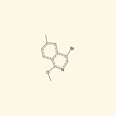 COc1ncc(Br)c2cc(C)ccc12